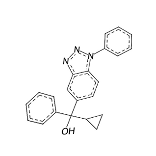 OC(c1ccccc1)(c1ccc2c(c1)nnn2-c1ccccc1)C1CC1